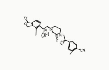 Cc1cc(C(=O)C[C@H]2CCN(C[C@H](O)c3ccc4c(c3C)COC4=O)C[C@H]2F)ccc1C#N